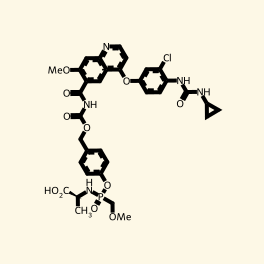 COCP(=O)(N[C@@H](C)C(=O)O)Oc1ccc(COC(=O)NC(=O)c2cc3c(Oc4ccc(NC(=O)NC5CC5)c(Cl)c4)ccnc3cc2OC)cc1